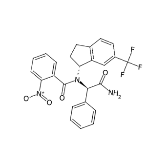 NC(=O)[C@@H](c1ccccc1)N(C(=O)c1ccccc1[N+](=O)[O-])[C@@H]1CCc2ccc(C(F)(F)F)cc21